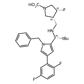 CC(C)(C)[C@@H](NC[C@@H]1CN(C(=O)O)C[C@@H]1F)c1cc(-c2cc(F)ccc2F)cn1Cc1ccccc1